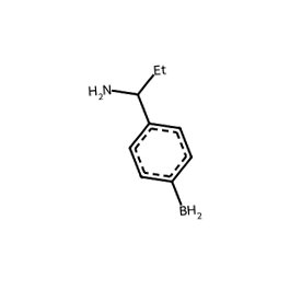 Bc1ccc(C(N)CC)cc1